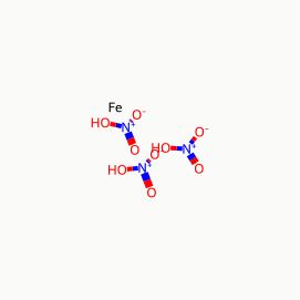 O=[N+]([O-])O.O=[N+]([O-])O.O=[N+]([O-])O.[Fe]